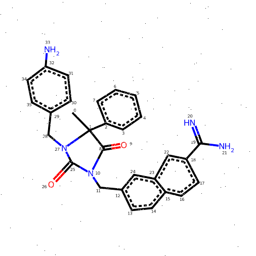 CC1(c2ccccc2)C(=O)N(Cc2ccc3ccc(C(=N)N)cc3c2)C(=O)N1Cc1ccc(N)cc1